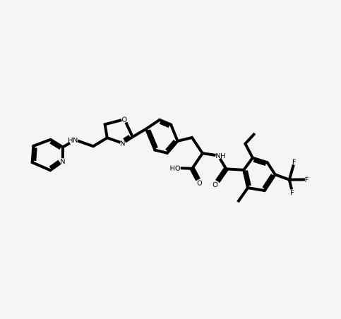 CCc1cc(C(F)(F)F)cc(C)c1C(=O)NC(Cc1ccc(C2=NC(CNc3ccccn3)CO2)cc1)C(=O)O